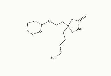 CCCCCC1(CCOC2CCCCO2)CNC(=O)C1